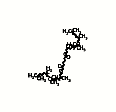 CC(C)=CCCC(C)CCOC(C)(C)CCCC(C)CCOCC(=O)CCCCC(=O)OCCC(C)CCCC(C)(C)OCCC(C)CCC=C(C)C